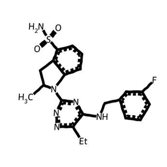 CCc1nnc(N2c3cccc(S(N)(=O)=O)c3CC2C)nc1NCc1cccc(F)c1